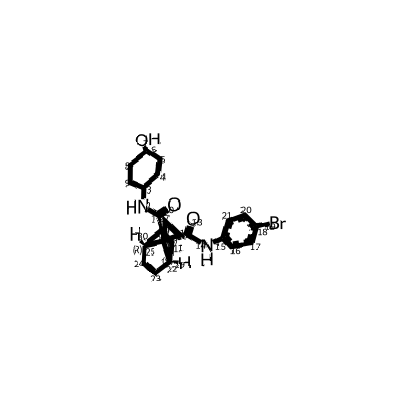 O=C(NC1CCC(O)CC1)[C@H]1[C@H](C(=O)Nc2ccc(Br)cc2)[C@@H]2C=C[C@H]1C21CC1